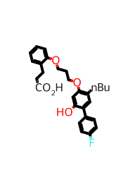 CCCCc1cc(-c2ccc(F)cc2)c(O)cc1OCCCOc1ccccc1CCC(=O)O